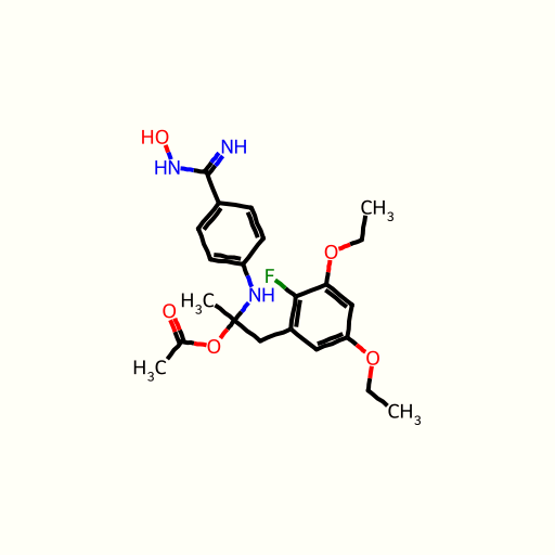 CCOc1cc(CC(C)(Nc2ccc(C(=N)NO)cc2)OC(C)=O)c(F)c(OCC)c1